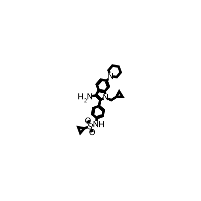 Nc1c(-c2ccc(NS(=O)(=O)C3CC3)cc2)n(CC2CC2)c2cc(N3CCCCC3)ccc12